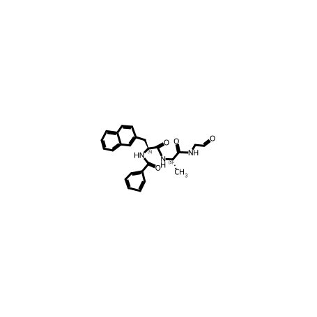 C[C@H](NC(=O)[C@H](Cc1ccc2ccccc2c1)NC(=O)c1ccccc1)C(=O)NCC=O